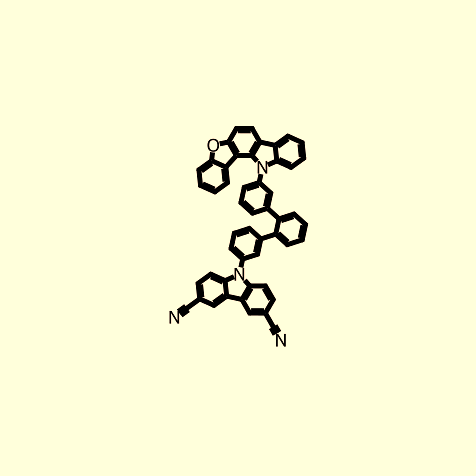 N#Cc1ccc2c(c1)c1cc(C#N)ccc1n2-c1cccc(-c2ccccc2-c2cccc(-n3c4ccccc4c4ccc5oc6ccccc6c5c43)c2)c1